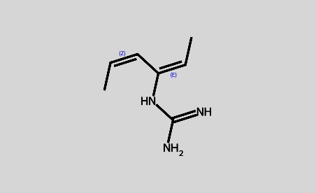 C/C=C\C(=C/C)NC(=N)N